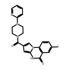 O=C(c1cc2[nH]c(=O)c3cc(F)ccc3n2c1)N1CCN(c2ccccn2)CC1